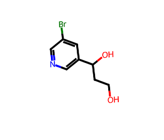 OCCC(O)c1cncc(Br)c1